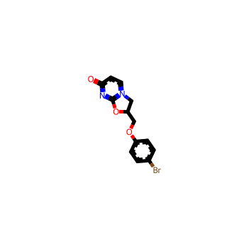 O=c1ccn2c(n1)OC(COc1ccc(Br)cc1)C2